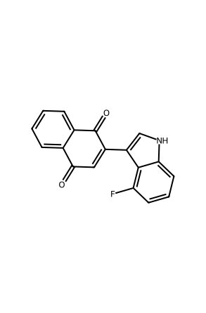 O=C1C=C(c2c[nH]c3cccc(F)c23)C(=O)c2ccccc21